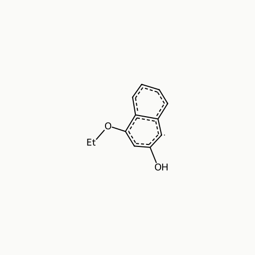 CCOc1cc(O)[c]c2ccccc12